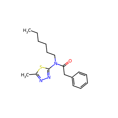 CCCCCCN(C(=O)Cc1ccccc1)c1nnc(C)s1